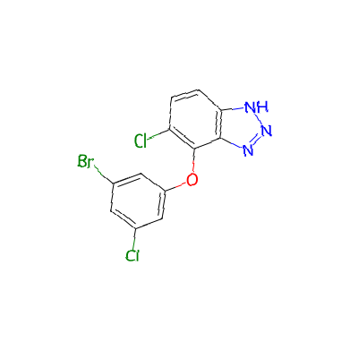 Clc1cc(Br)cc(Oc2c(Cl)ccc3[nH]nnc23)c1